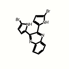 Brc1ccc(-c2nc3ccccc3nc2-c2ccc(Br)[nH]2)[nH]1